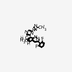 Cc1ncn(-c2cncc([C@@]34CC[C@H](c5cc(-c6c(F)cccc6F)nnc53)C4(C)C)n2)n1